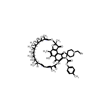 C/C1=C/C=C/[C@H](C)[C@H](O)[C@@H](C)[C@@H](O)[C@@H](C)[C@H](C)[C@H](C)[C@@H](C)/C(C)=C/O[C@@]2(C)Oc3c(C)c(O)c4c(c3C2=O)C2=NC3(CCN(CC(C)C)CC3)N(C(=O)Oc3ccc(C)cc3)C2=C(NC1=O)C4=O